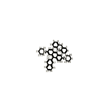 c1ccc2c(c1)Cc1ccccc1N2c1c2ccc(N3CCCCC3)cc2c(-c2ccc3ccccc3c2)c2ccc(N3CCCCC3)cc12